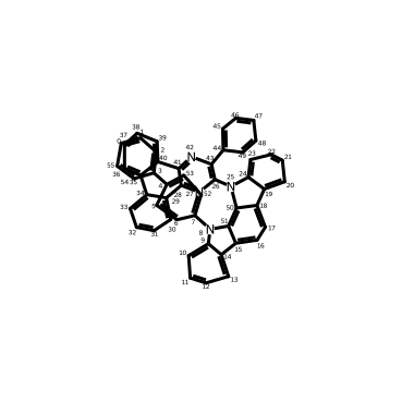 c1ccc(-c2ccc(-n3c4ccccc4c4ccc5c6ccccc6n(-c6nc7c8ccccc8c8ccccc8c7nc6-c6ccccc6)c5c43)cc2)cc1